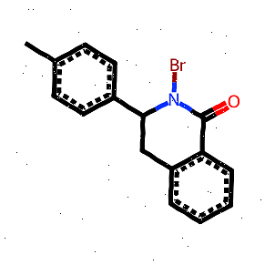 Cc1ccc(C2Cc3ccccc3C(=O)N2Br)cc1